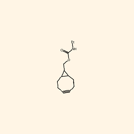 CCNC(=O)OCC1C2CCC#CCCC21